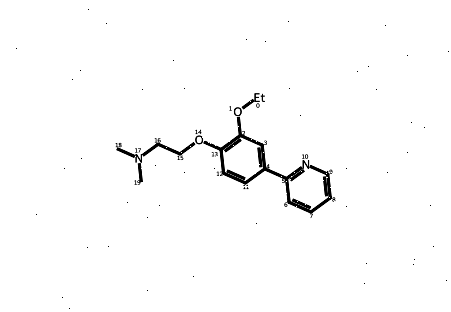 CCOc1cc(-c2ccc[c]n2)ccc1OCCN(C)C